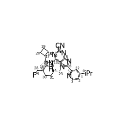 CC(C)c1ccnc(-c2nc3nc(C#N)nc(N[C@H](C)C4CCC4)c3n2C[C@H]2CC[C@H](CF)CC2)c1